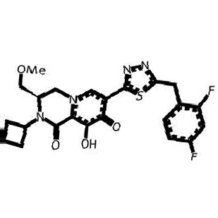 COC[C@H]1Cn2cc(-c3nnc(Cc4ccc(F)cc4F)s3)c(=O)c(O)c2C(=O)N1C1CCC1